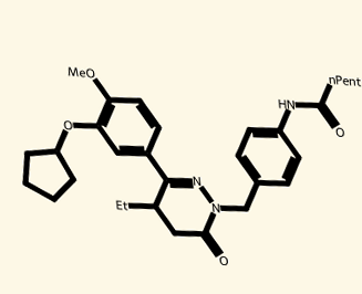 CCCCCC(=O)Nc1ccc(CN2N=C(c3ccc(OC)c(OC4CCCC4)c3)C(CC)CC2=O)cc1